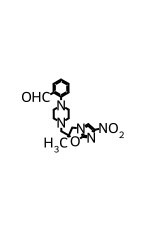 CC1(CN2CCN(c3ccccc3C=O)CC2)Cn2cc([N+](=O)[O-])nc2O1